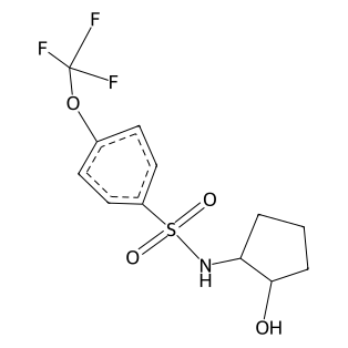 O=S(=O)(NC1CCCC1O)c1ccc(OC(F)(F)F)cc1